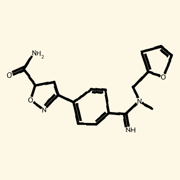 CN(Cc1ccco1)C(=N)c1ccc(C2=NOC(C(N)=O)C2)cc1